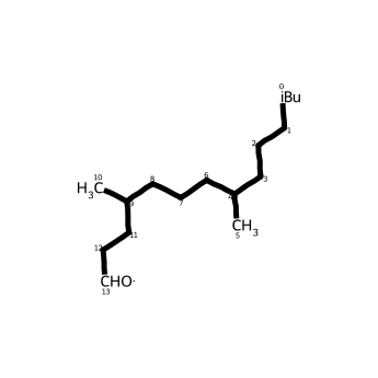 CCC(C)CCCC(C)CCCC(C)CC[C]=O